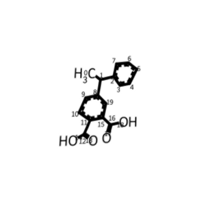 CC(c1ccccc1)c1ccc(C(=O)O)c(C(=O)O)c1